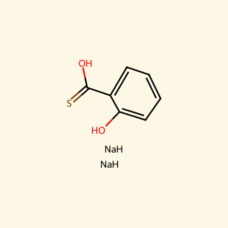 OC(=S)c1ccccc1O.[NaH].[NaH]